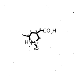 CC1CC(CC(=O)O)CS(=S)N1